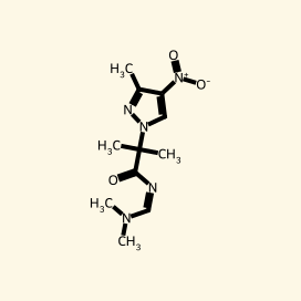 Cc1nn(C(C)(C)C(=O)/N=C\N(C)C)cc1[N+](=O)[O-]